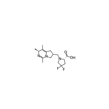 CC1=N[C@@H](C)C(C)=C2CC(CN3CC(F)(F)C[C@H]3C(=O)O)CN12